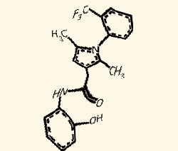 Cc1cc(C(=O)Nc2ccccc2O)c(C)n1-c1ccccc1C(F)(F)F